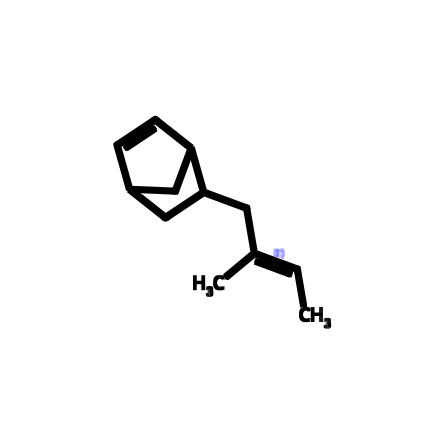 C/C=C(\C)CC1CC2C=CC1C2